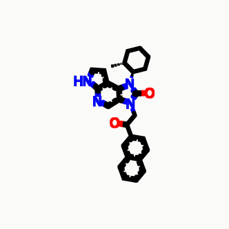 C[C@@H]1CCCC[C@@H]1n1c(=O)n(CC(=O)c2ccc3ccccc3c2)c2cnc3[nH]ccc3c21